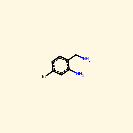 CCc1ccc(CN)c(N)c1